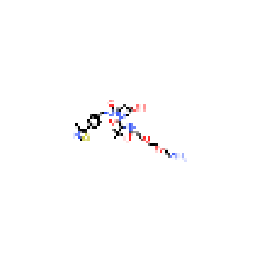 Cc1ncsc1-c1ccc(CNC(=O)[C@@H]2C[C@@H](O)CN2C(=O)[C@@H](NC(=O)CCOCCOCCN)C(C)(C)C)cc1